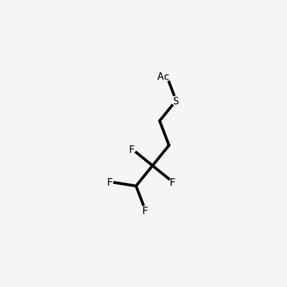 CC(=O)SCCC(F)(F)C(F)F